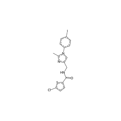 Cc1nc(CNC(=O)c2ccc(Cl)s2)cn1-c1ccc(I)cc1